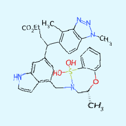 CCOC(=O)CC(c1cc(CN2C[C@@H](C)Oc3ccccc3S2(O)O)c2cc[nH]c2c1)c1ccc2c(nnn2C)c1C